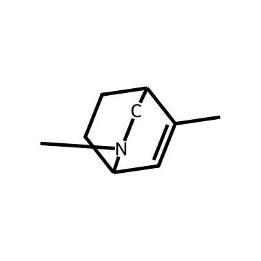 CC1=CC2CCC1CN2C